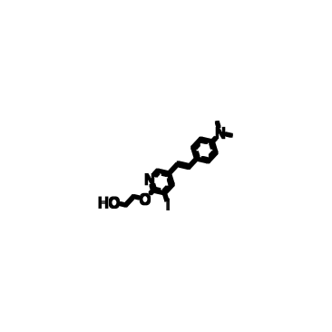 CN(C)c1ccc(/C=C/c2cnc(OCCO)c(I)c2)cc1